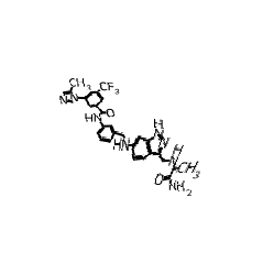 Cc1cncn1-c1cc(C(=O)Nc2cccc(CNc3ccc4c(CN[C@@H](C)C(N)=O)n[nH]c4c3)c2)cc(C(F)(F)F)c1